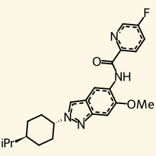 COc1cc2nn([C@H]3CC[C@H](C(C)C)CC3)cc2cc1NC(=O)c1ccc(F)cn1